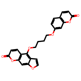 O=c1ccc2ccc(OCCCCOc3c4ccoc4cc4oc(=O)ccc34)cc2o1